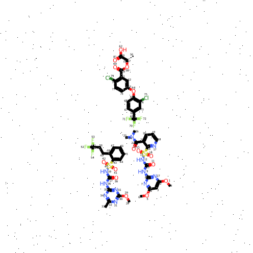 COc1cc(OC)nc(NC(=O)NS(=O)(=O)c2ncccc2C(=O)N(C)C)n1.COc1nc(C)nc(NC(=O)NS(=O)(=O)c2ccccc2CCC(F)(F)F)n1.C[C@H](OC(=O)c1cc(Oc2ccc(C(F)(F)F)cc2Cl)ccc1Cl)C(=O)O